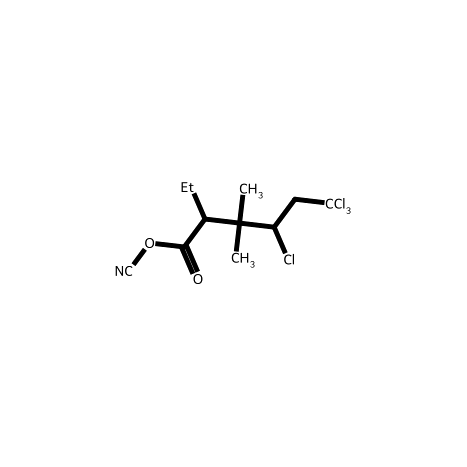 CCC(C(=O)OC#N)C(C)(C)C(Cl)CC(Cl)(Cl)Cl